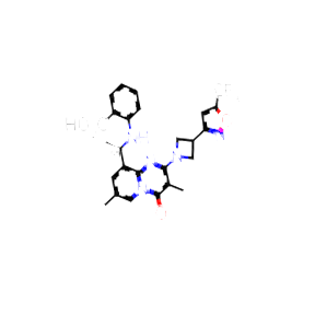 Cc1cc([C@@H](C)Nc2ccccc2C(=O)O)c2nc(N3CC(c4cc(C(F)(F)F)on4)C3)c(C)c(=O)n2c1